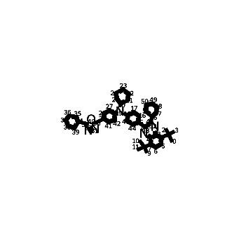 CC(C)(C)c1ccc(C(C)(C)C)c2nc(-c3ccc(N(c4ccccc4)c4ccc(-c5nnc(-c6ccccc6)o5)cc4)cc3)c(-c3ccccc3)nc12